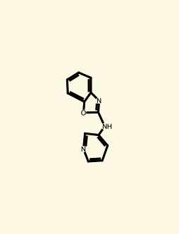 c1cncc(Nc2nc3ccccc3o2)c1